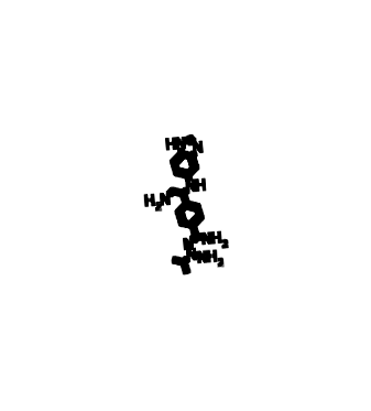 CC(C)N(N)/N=C(\N)c1ccc(C(CN)Nc2ccc3[nH]cnc3c2)cc1